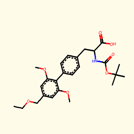 CCOCc1cc(OC)c(-c2ccc(CC(NC(=O)OC(C)(C)C)C(=O)O)cc2)c(OC)c1